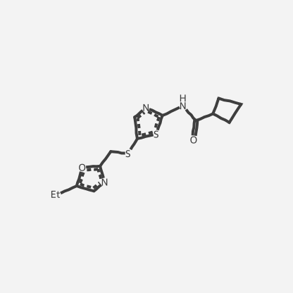 CCc1cnc(CSc2cnc(NC(=O)C3CCC3)s2)o1